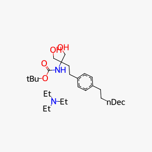 CCCCCCCCCCCCc1ccc(CCC(CO)(CO)NC(=O)OC(C)(C)C)cc1.CCN(CC)CC